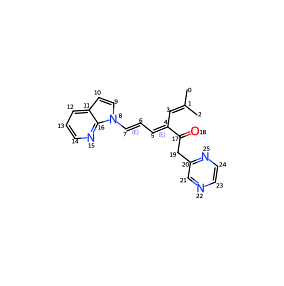 CC(C)=C/C(=C\C=C\n1ccc2cccnc21)C(=O)Cc1cnccn1